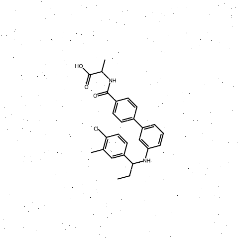 CCC(Nc1cccc(-c2ccc(C(=O)NC(C)C(=O)O)cc2)c1)c1ccc(Cl)c(C)c1